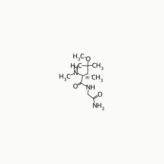 CNC(C(=O)NCC(N)=O)[C@@H](C)C(C)(C)OC